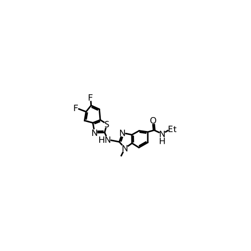 CCNC(=O)c1ccc2c(c1)nc(Nc1nc3cc(F)c(F)cc3s1)n2C